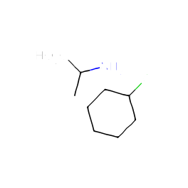 CC(N)C(=O)O.ClC1CCCCC1